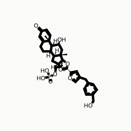 C[C@]12C=CC(=O)C=C1CC[C@@H]1[C@@H]2[C@@H](O)C[C@@]2(C)[C@H]1C[C@H]1O[C@@H](c3cc(Cc4ccc(CO)cc4)co3)O[C@]12C(=O)COP(=O)(O)O